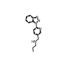 CCCNCc1ccc(-n2nnc3ccccc32)nc1